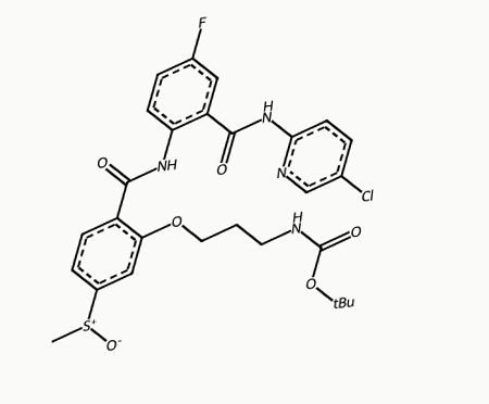 C[S+]([O-])c1ccc(C(=O)Nc2ccc(F)cc2C(=O)Nc2ccc(Cl)cn2)c(OCCCNC(=O)OC(C)(C)C)c1